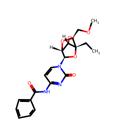 CC[C@]12O[C@@H](n3ccc(NC(=O)c4ccccc4)nc3=O)[C@H](O[C@H]1COC)[C@@H]2O